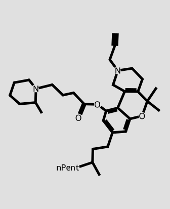 C#CCN1CCC2=C(C1)c1c(OC(=O)CCCN3CCCCC3C)cc(CCC(C)CCCCC)cc1OC2(C)C